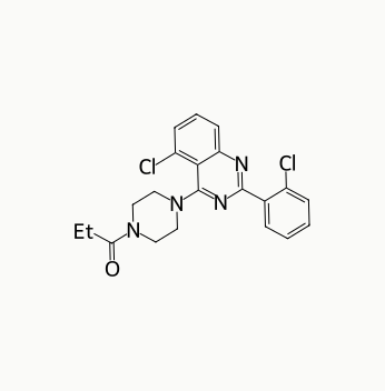 CCC(=O)N1CCN(c2nc(-c3ccccc3Cl)nc3cccc(Cl)c23)CC1